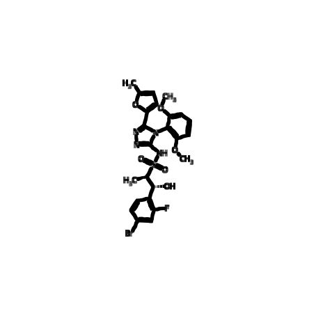 COc1cccc(OC)c1-n1c(NS(=O)(=O)[C@H](C)[C@H](O)c2ccc(Br)cc2F)nnc1-c1ccc(C)o1